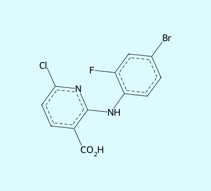 O=C(O)c1ccc(Cl)nc1Nc1ccc(Br)cc1F